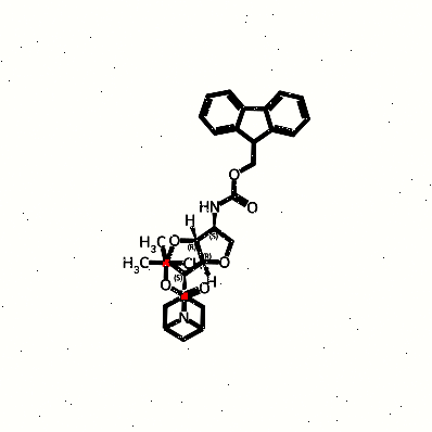 CC(C)(C)OC(=O)N1C2CC1CN([C@H]1CO[C@H]3[C@@H]1OC[C@@H]3NC(=O)OCC1c3ccccc3-c3ccccc31)C2